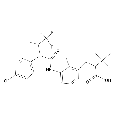 CC(C(C(=O)Nc1cccc(CC(C(=O)O)C(C)(C)C)c1F)c1ccc(Cl)cc1)C(F)(F)F